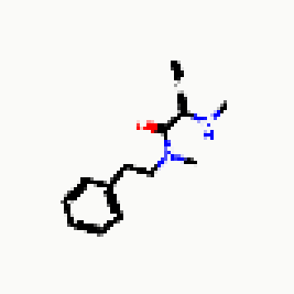 C=C=C(NC)C(=O)N(C)CCc1ccccc1